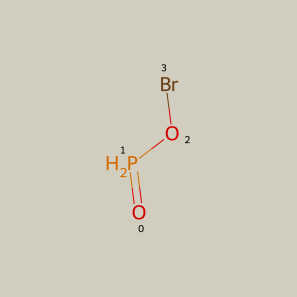 O=[PH2]OBr